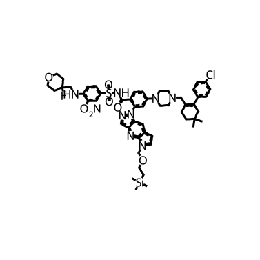 CC1(C)CCC(CN2CCN(c3ccc(C(=O)NS(=O)(=O)c4ccc(NCC5(F)CCOCC5)c([N+](=O)[O-])c4)c(-n4ncc5nc6c(ccn6COCC[Si](C)(C)C)cc54)c3)CC2)=C(c2ccc(Cl)cc2)C1